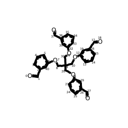 O=Cc1cccc(OCC(COc2cccc(C=O)c2)(COc2cccc(C=O)c2)COc2cccc(C=O)c2)c1